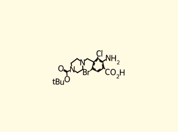 CC(C)(C)OC(=O)N1CCN(Cc2c(Br)cc(C(=O)O)c(N)c2Cl)CC1